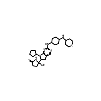 O=C1CCC(O)(C2Cc3cnc(NC4CCC(NC5CCOCC5)CC4)nc3N2C2CCCC2)N1